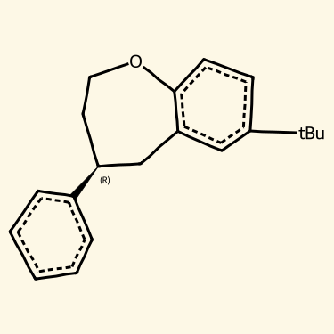 CC(C)(C)c1ccc2c(c1)C[C@@H](c1ccccc1)CCO2